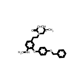 CNc1ccc(CCN(C[C@H](C)O)C(=O)O)cc1Oc1ccc(OCc2ccccc2)cc1